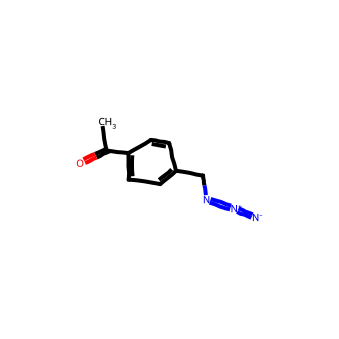 CC(=O)c1ccc(CN=[N+]=[N-])cc1